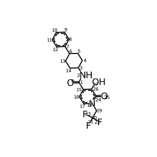 O=C(NC1CCC(c2ccccc2)CC1)c1ccn(CC(F)(F)F)c(=O)c1O